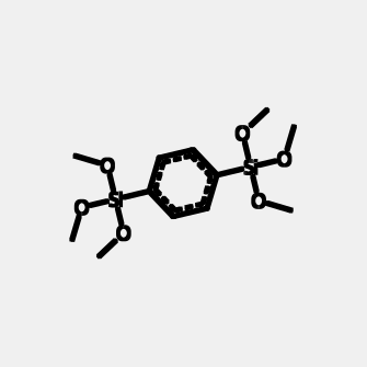 CO[Si](OC)(OC)c1ccc([Si](OC)(OC)OC)cc1